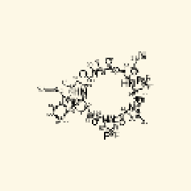 CC#CCn1cc(C[C@H]2C(=O)N[C@@H](CC(C)C)C(=O)N(C)[C@@H](C)C(=O)O[C@H](CCC#N)C(=O)N[C@@H](CC(F)(F)F)C(=O)N(C)[C@@H](CC(C)C)C(=O)N[C@@H](CC(F)(F)F)C(=O)N2C)c2ccccc21